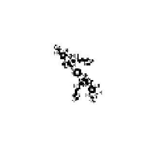 COC(=O)N[C@H]1C[C@@H](n2cnc3c(N[C@H]4CC[C@H](Nc5nc(NCCc6cn(C)cn6)nc6c5ncn6[C@@H]5C[C@H](NC(=O)OC)[C@@H](O)[C@H]5O)CC4)nc(NCCc4cn(C)cn4)nc32)[C@H](O)[C@@H]1O